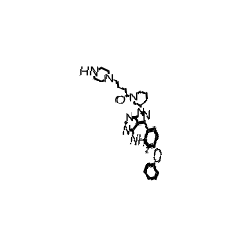 Nc1ncnc2c1c(-c1ccc(Oc3ccccc3)cc1)nn2C1CCCN(C(=O)CCCN2CCNCC2)C1